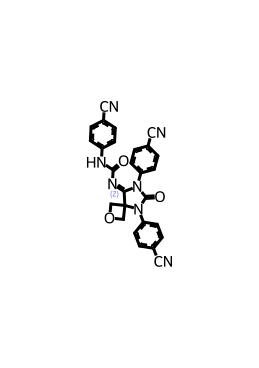 N#Cc1ccc(NC(=O)/N=C2\N(c3ccc(C#N)cc3)C(=O)N(c3ccc(C#N)cc3)C23COC3)cc1